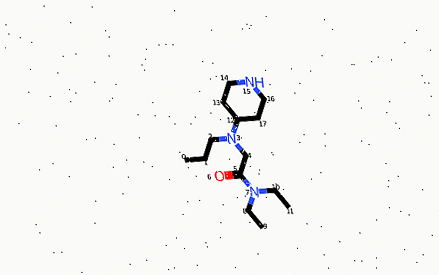 CCCN(CC(=O)N(CC)CC)C1CCNCC1